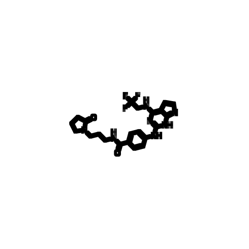 O=C(NCCCN1CCCC1=O)c1ccc(Nc2nc(NCC(F)(F)F)c3ccnc-3[nH]2)cc1